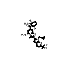 COc1cc(C(=O)N2[C@H]3CC[C@@H]2[C@H](N)C3)cc2nc(-c3cc4ccc(C(C)(O)C(C)C)nc4n3CC3CC3)c(C)n12